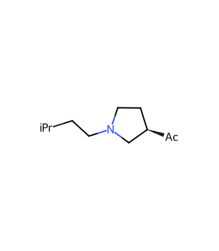 CC(=O)[C@@H]1CCN(CCC(C)C)C1